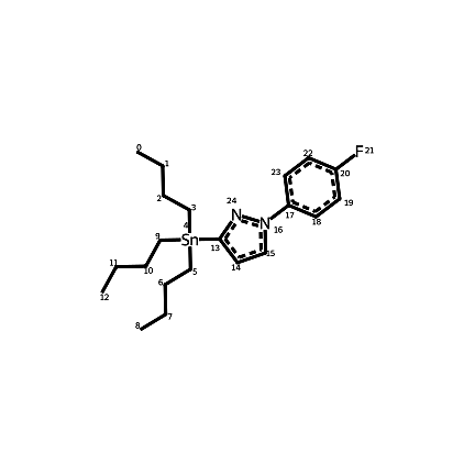 CCC[CH2][Sn]([CH2]CCC)([CH2]CCC)[c]1ccn(-c2ccc(F)cc2)n1